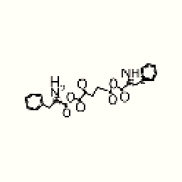 N[C@@H](Cc1ccccc1)C(=O)OC(=O)CCC(=O)C(=O)OC(=O)[C@@H](N)Cc1ccccc1